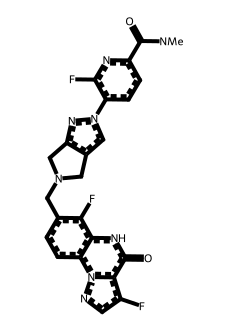 CNC(=O)c1ccc(-n2cc3c(n2)CN(Cc2ccc4c([nH]c(=O)c5c(F)cnn54)c2F)C3)c(F)n1